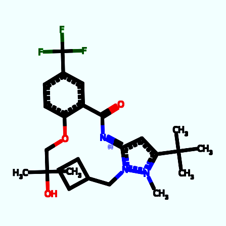 Cn1c(C(C)(C)C)c/c(=N\C(=O)c2cc(C(F)(F)F)ccc2OCC(C)(C)O)n1CC1CCC1